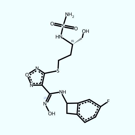 NS(=O)(=O)N[C@H](CO)CCSc1nonc1/C(=N/O)NC1Cc2ccc(F)cc21